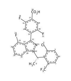 C[C@@H](c1c(Cl)cccc1C(F)(F)F)n1nc(-c2cc(F)c(C(=O)O)cc2F)c2c(F)cccc21